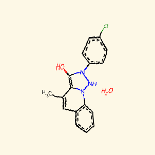 CC1=Cc2ccccc2N2NN(c3ccc(Cl)cc3)C(O)=C12.O